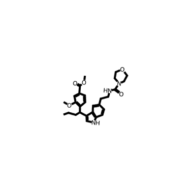 CCCC(c1ccc(C(=O)OC)cc1OC)c1c[nH]c2ccc(CCNC(=O)N3CCOCC3)cc12